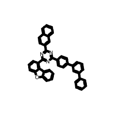 c1ccc(-c2cccc(-c3ccc(-c4nc(-c5ccc6ccccc6c5)nc(-c5cccc6oc7ccccc7c56)n4)cc3)c2)cc1